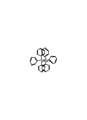 c1cc[c]([Sn]([c]2ccccc2)([c]2ccccc2)[Sn]([c]2ccccc2)([c]2ccccc2)[c]2ccccc2)cc1